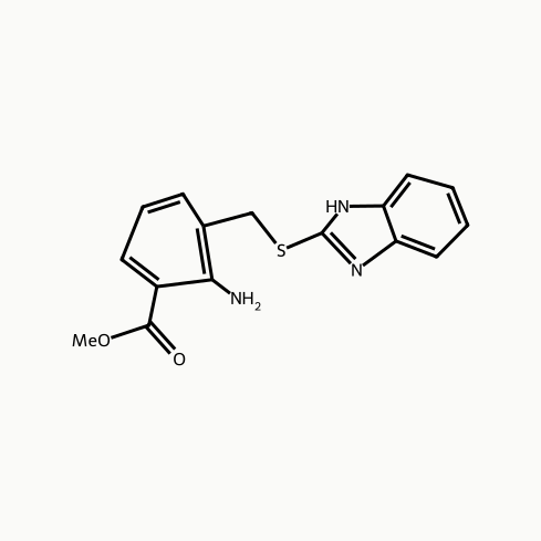 COC(=O)c1cccc(CSc2nc3ccccc3[nH]2)c1N